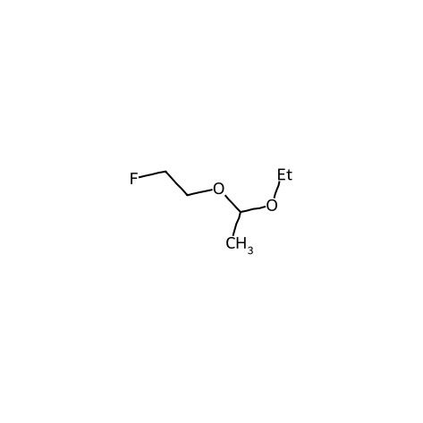 CCOC(C)OCCF